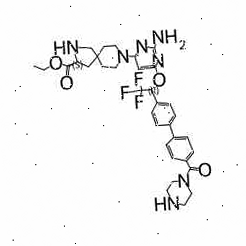 CCOC(=O)[C@@H]1CC2(CCN(c3cc(O[C@H](c4ccc(-c5ccc(C(=O)N6CCNCC6)cc5)cc4)C(F)(F)F)nc(N)n3)CC2)CN1